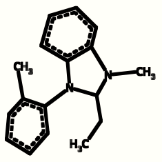 CCC1N(C)c2ccccc2N1c1ccccc1C